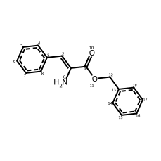 NC(=Cc1ccccc1)C(=O)OCc1ccccc1